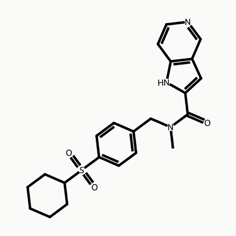 CN(Cc1ccc(S(=O)(=O)C2CCCCC2)cc1)C(=O)c1cc2cnccc2[nH]1